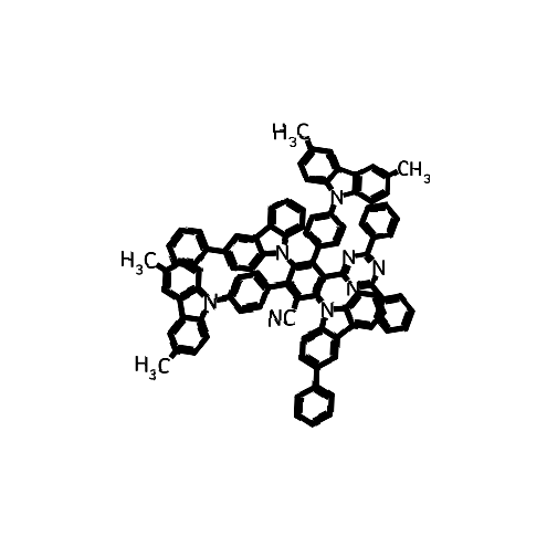 Cc1ccc2c(c1)c1cc(C)ccc1n2-c1ccc(-c2c(C#N)c(-n3c4ccccc4c4cc(-c5ccccc5)ccc43)c(-c3nc(-c4ccccc4)nc(-c4ccccc4)n3)c(-c3ccc(-n4c5ccc(C)cc5c5cc(C)ccc54)cc3)c2-n2c3ccccc3c3cc(-c4ccccc4)ccc32)cc1